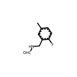 Cc1ccc(F)c(CNC=O)c1